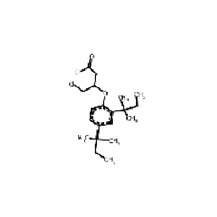 CCC(C)(C)c1ccc(OC(CCl)CC(=O)Cl)c(C(C)(C)CC)c1